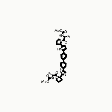 COC(=O)N[C@H](C(=O)N1CCCC1c1ccc(-c2ccc(-c3ccc(-c4cnc(C5CCCN5C(=O)[C@@H](NC(=O)OC)C(C)C)[nH]4)cc3)cc2)[nH]1)C(C)C